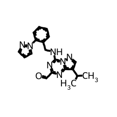 CC(C)c1cnn2c(NCc3ccccc3-n3cccn3)nc(C=O)nc12